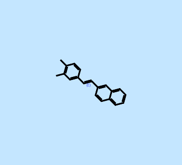 Cc1ccc(/C=C/c2ccc3ccccc3c2)cc1C